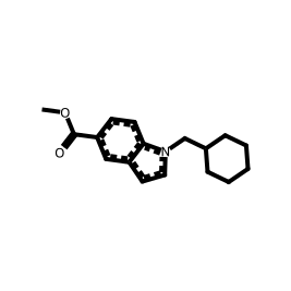 COC(=O)c1ccc2c(ccn2CC2CCCCC2)c1